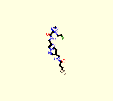 O=C(CCC(F)(F)F)NCc1cnn2cc(CNC(=O)c3ncnn3CCF)nc2c1